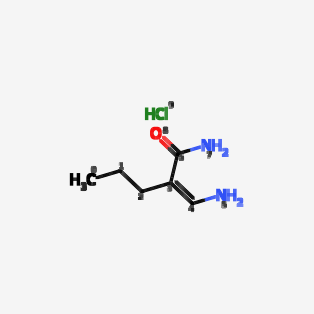 CCCC(=CN)C(N)=O.Cl